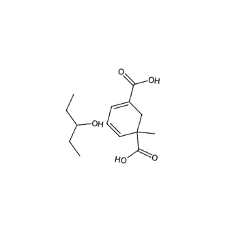 CC1(C(=O)O)C=CC=C(C(=O)O)C1.CCC(O)CC